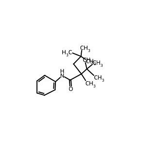 CC(C)(C)CC(C)(C(=O)Nc1ccccc1)C(C)(C)C